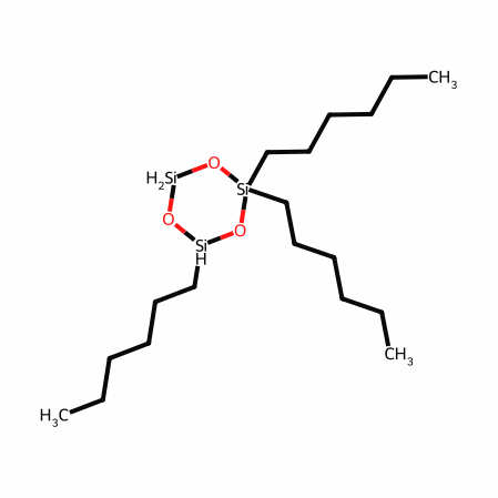 CCCCCC[SiH]1O[SiH2]O[Si](CCCCCC)(CCCCCC)O1